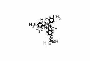 Cc1ccc(-c2nc(-c3ccc(C)cc3C)nc(-c3ccc(OCC(C)O)cc3O)n2)c(C)c1